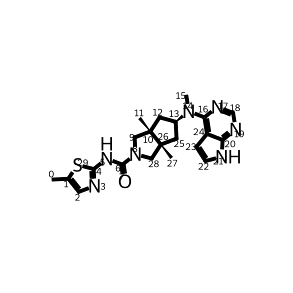 Cc1cnc(NC(=O)N2C[C@]3(C)C[C@@H](N(C)c4ncnc5[nH]ccc45)C[C@]3(C)C2)s1